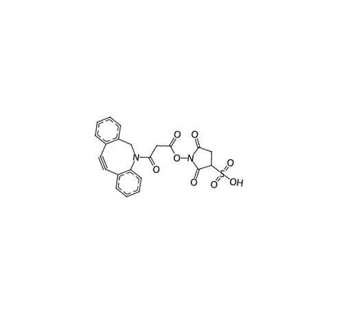 O=C(CC(=O)N1Cc2ccccc2C#Cc2ccccc21)ON1C(=O)CC(S(=O)(=O)O)C1=O